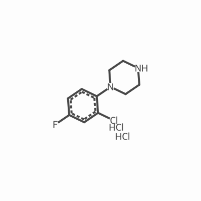 Cl.Cl.Fc1ccc(N2CCNCC2)c(Cl)c1